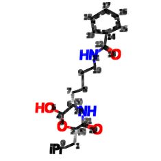 CC(C)C[C@@H]1OC(O)[C@H](CCCCNC(=O)c2ccccc2)NC1=O